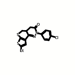 CCc1cc2c(s1)SCC1CC(=O)N(c3ccc(Cl)cc3)N=C21